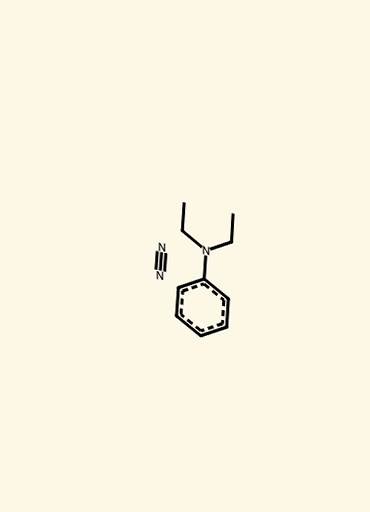 CCN(CC)c1ccccc1.N#N